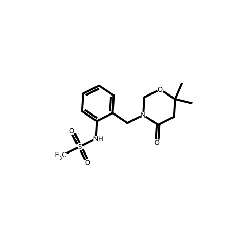 CC1(C)CC(=O)N(Cc2ccccc2NS(=O)(=O)C(F)(F)F)CO1